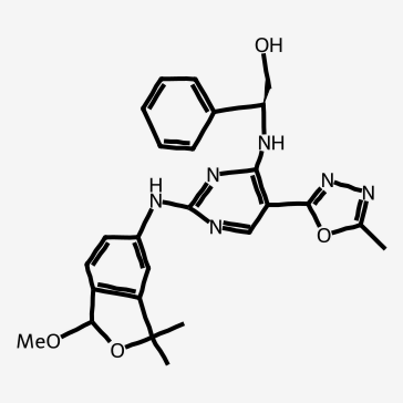 COC1OC(C)(C)c2cc(Nc3ncc(-c4nnc(C)o4)c(N[C@H](CO)c4ccccc4)n3)ccc21